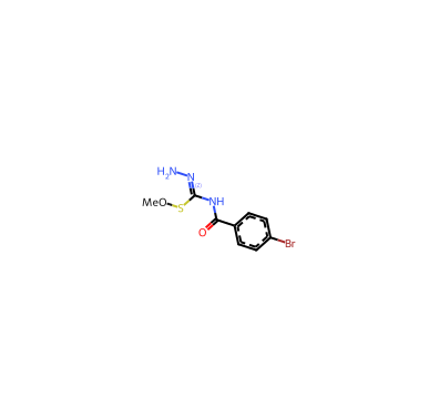 COS/C(=N\N)NC(=O)c1ccc(Br)cc1